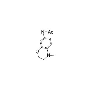 CC(=O)Nc1ccc2c(c1)OCCN2C